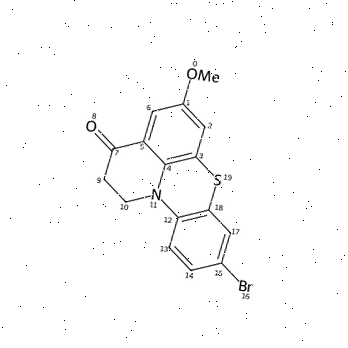 COc1cc2c3c(c1)C(=O)CCN3c1ccc(Br)cc1S2